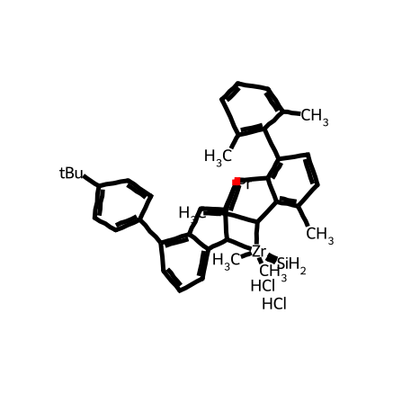 CC1=Cc2c(-c3c(C)cccc3C)ccc(C)c2[CH]1[Zr]([CH3])([CH3])(=[SiH2])[CH]1C(C(C)C)=Cc2c(-c3ccc(C(C)(C)C)cc3)cccc21.Cl.Cl